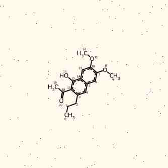 CCCc1cc2cc(OC)c(OC)cc2c(O)c1C(C)=O